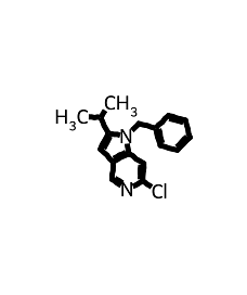 CC(C)c1cc2cnc(Cl)cc2n1Cc1ccccc1